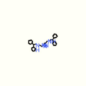 c1ccc(C(CNCCn2cc(CNCC(c3ccccc3)c3ccccc3)nn2)c2ccccc2)cc1